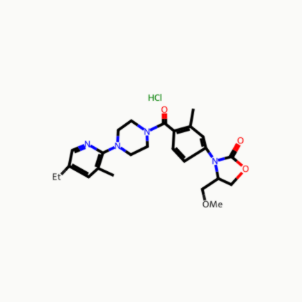 CCc1cnc(N2CCN(C(=O)c3ccc(N4C(=O)OCC4COC)cc3C)CC2)c(C)c1.Cl